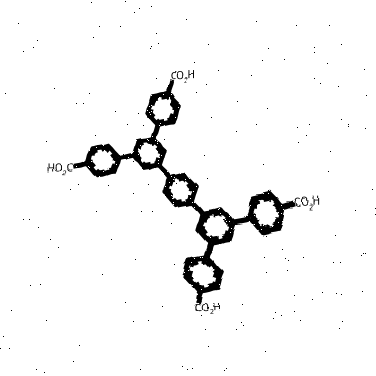 O=C(O)c1ccc(-c2cc(-c3ccc(C(=O)O)cc3)cc(-c3ccc(-c4cc(-c5ccc(C(=O)O)cc5)cc(-c5ccc(C(=O)O)cc5)c4)cc3)c2)cc1